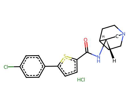 Cl.O=C(N[C@H]1CN2CCC1CC2)c1ccc(-c2ccc(Cl)cc2)s1